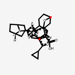 COc1cc(C(=O)O)cc2sc(N3C4CC[C@H]3CC(OCc3c(C5CCCCC5C(F)(F)F)noc3C3CC3)C4)nc12